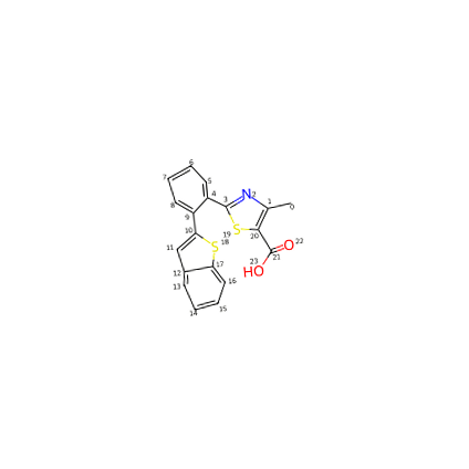 Cc1nc(-c2ccccc2-c2cc3ccccc3s2)sc1C(=O)O